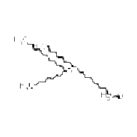 C1CO1.CCCCCCCCCCCC(CCCCCCCC)OC(CCCCCCCC)CCCCCCCCCCC